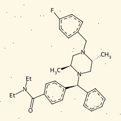 CCN(CC)C(=O)c1ccc([C@H](c2ccccc2)N2C[C@@H](C)N(Cc3ccc(F)cc3)C[C@@H]2C)cc1